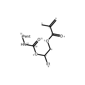 C=C(C)C(=O)OCC(CC)OC(=O)NC(C)CCC